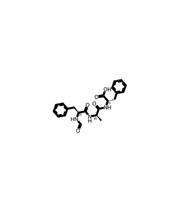 C[C@@H](NC(=O)[C@H](Cc1ccccc1)NC=O)C(=O)N[C@@H](Cc1ccccc1)C(=O)O